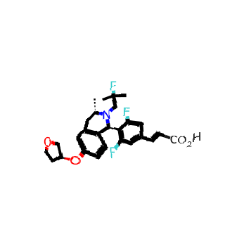 C[C@H]1Cc2cc(O[C@H]3CCOC3)ccc2[C@H](c2c(F)cc(/C=C/C(=O)O)cc2F)N1CC(C)(C)F